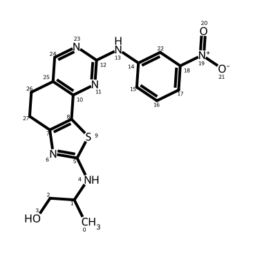 CC(CO)Nc1nc2c(s1)-c1nc(Nc3cccc([N+](=O)[O-])c3)ncc1CC2